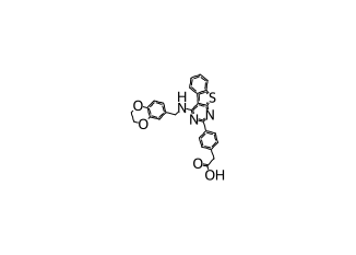 O=C(O)Cc1ccc(-c2nc(NCc3ccc4c(c3)OCCO4)c3c(n2)sc2ccccc23)cc1